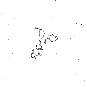 CC(C)N1CCc2c(nc(-c3ccc(Nc4ncc[nH]4)cc3)nc2N2CCOCC2C)C1